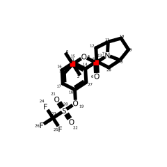 CC(C)(C)OC(=O)N1C2CCC1CC(c1cccc(OS(=O)(=O)C(F)(F)F)c1)C2